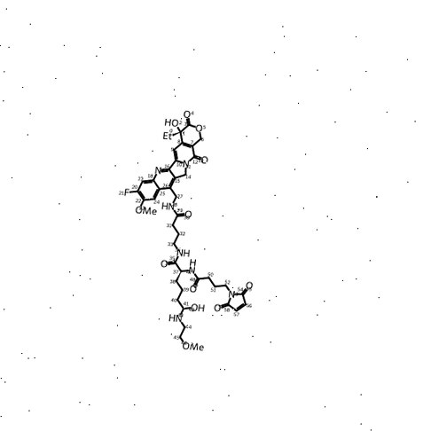 CC[C@@]1(O)C(=O)OCc2c1cc1n(c2=O)Cc2c-1nc1cc(F)c(OC)cc1c2CNC(=O)CCCNC(=O)[C@H](CCCC(O)NCCOC)NC(=O)CCCN1C(=O)C=CC1=O